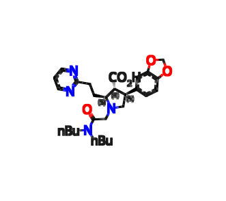 CCCCN(CCCC)C(=O)CN1C[C@H](c2ccc3c(c2)OCO3)[C@@H](C(=O)O)[C@@H]1CCc1ncccn1